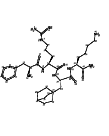 N=C(N)NCCC[C@H](NC(=O)[C@@H](N)Cc1ccccc1)C(=O)N[C@@H](CC12CCC(CC1)CC2)C(=O)N[C@@H](CCCCN)C(N)=O